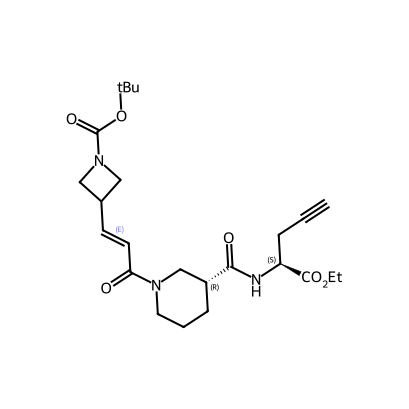 C#CC[C@H](NC(=O)[C@@H]1CCCN(C(=O)/C=C/C2CN(C(=O)OC(C)(C)C)C2)C1)C(=O)OCC